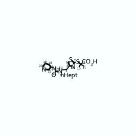 CCCCCCCN(CCc1csc(SC(C)(C)C(=O)O)n1)C(=O)Nc1cccnc1